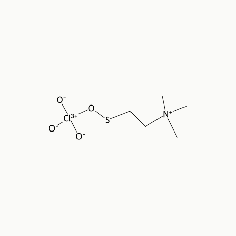 C[N+](C)(C)CCSO[Cl+3]([O-])([O-])[O-]